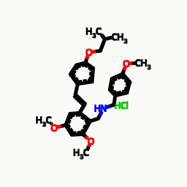 COc1ccc(CNCc2c(/C=C/c3ccc(OCC(C)C)cc3)cc(OC)cc2OC)cc1.Cl